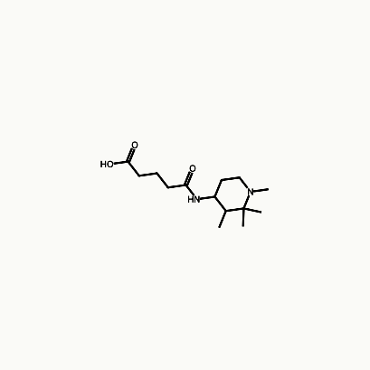 CC1C(NC(=O)CCCC(=O)O)CCN(C)C1(C)C